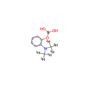 [2H]C([2H])([2H])N(c1ccccc1OB(O)O)C([2H])([2H])[2H]